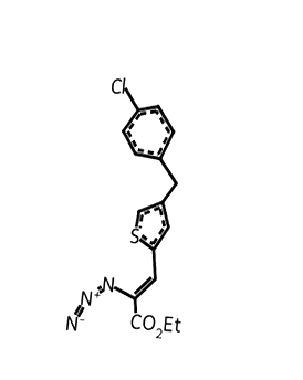 CCOC(=O)/C(=C/c1cc(Cc2ccc(Cl)cc2)cs1)N=[N+]=[N-]